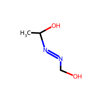 CC(O)N=NCO